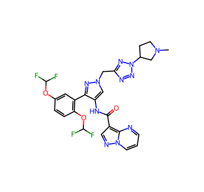 CN1CCC(n2nnc(Cn3cc(NC(=O)c4cnn5cccnc45)c(-c4cc(OC(F)F)ccc4OC(F)F)n3)n2)C1